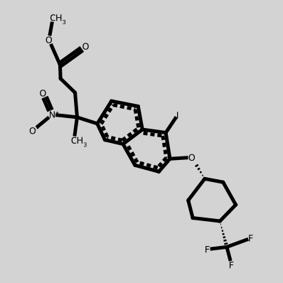 COC(=O)CCC(C)(c1ccc2c(I)c(O[C@H]3CC[C@@H](C(F)(F)F)CC3)ccc2c1)[N+](=O)[O-]